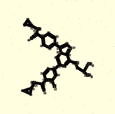 CC(C)CNc1nc(-c2ccc(C(=O)NC3CC3)c(Cl)c2)cn2c(-c3ccc(C(=O)NC4CC4)cc3)cnc12